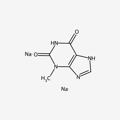 Cn1c(=O)[nH]c(=O)c2[nH]cnc21.[Na].[Na]